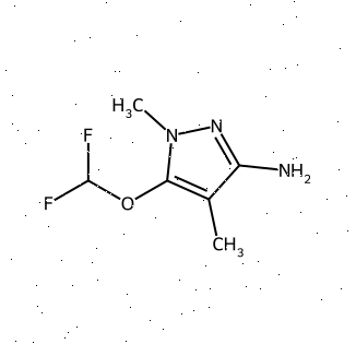 Cc1c(N)nn(C)c1OC(F)F